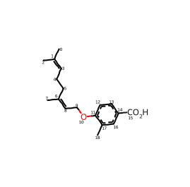 CC(C)=CCCC(C)=CCOc1ccc(C(=O)O)cc1C